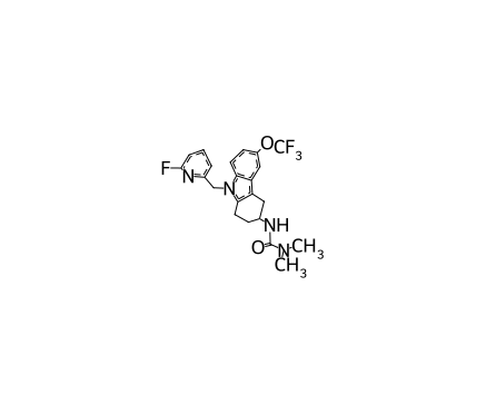 CN(C)C(=O)NC1CCc2c(c3cc(OC(F)(F)F)ccc3n2Cc2cccc(F)n2)C1